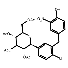 CC(=O)OC[C@H]1O[C@@H](c2ccc(Cl)c(Cc3ccc(O)c([N+](=O)[O-])c3)c2)[C@H](OC(C)=O)C(OC(C)=O)[C@@H]1OC(C)=O